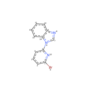 Brc1cccc(-n2cnc3ccccc32)n1